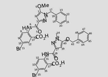 COc1cc(C(=O)[AsH]c2ccc(Br)cc2C(=O)O)nn1Cc1ccccc1.Cn1nc(C(=O)Nc2ccc(Br)cc2C(=O)O)cc1OCc1ccccc1